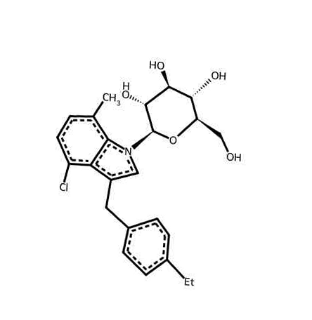 CCc1ccc(Cc2cn([C@@H]3O[C@H](CO)[C@@H](O)[C@H](O)[C@H]3O)c3c(C)ccc(Cl)c23)cc1